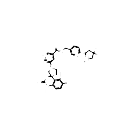 CN1CC(F)(F)C[C@H]1c1ccc(CNC(=O)c2cnnc(N3CC[C@]4(C3)OC(=O)Nc3ccc(Cl)c(F)c34)c2)cn1